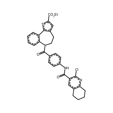 CCOC(=O)c1cc2c(s1)-c1ccccc1N(C(=O)c1ccc(NC(=O)c3cc4c(nc3Cl)CCCC4)cc1)CC2